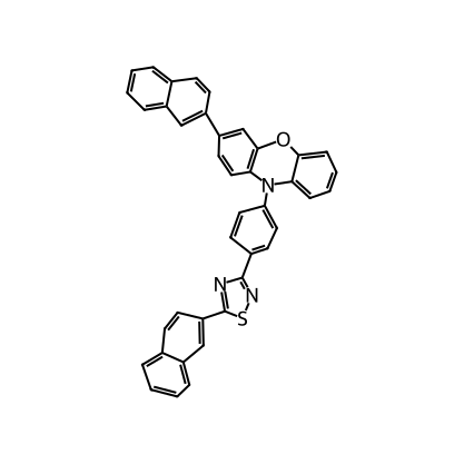 c1ccc2c(c1)Oc1cc(-c3ccc4ccccc4c3)ccc1N2c1ccc(-c2nsc(-c3ccc4ccccc4c3)n2)cc1